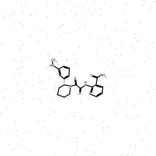 CNc1cccc([C@H]2CCCCN2C(=O)C(=O)Nc2ncccc2C(N)=O)c1